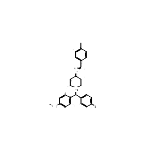 COc1ccc(C(c2ccc(Cl)cc2)N2CCC(/N=C/c3ccc(C)cc3)CC2)cc1